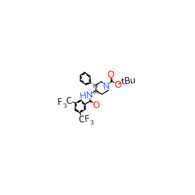 CC(C)(C)OC(=O)N1CC[C@@H](NC(=O)c2cc(C(F)(F)F)cc(C(F)(F)F)c2)[C@H](c2ccccc2)C1